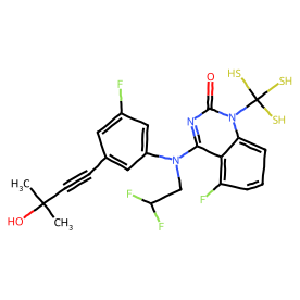 CC(C)(O)C#Cc1cc(F)cc(N(CC(F)F)c2nc(=O)n(C(S)(S)S)c3cccc(F)c23)c1